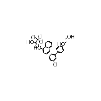 Clc1cccc(-c2ccccc2)c1.O=C(O)C(Cl)(Cl)Cl.OCCO.Oc1cccc2ccccc12